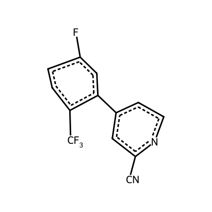 N#Cc1cc(-c2cc(F)ccc2C(F)(F)F)ccn1